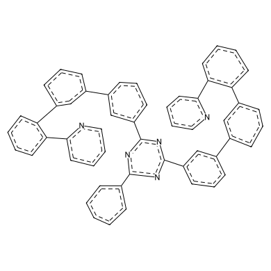 c1ccc(-c2nc(-c3cccc(-c4cccc(-c5ccccc5-c5ccccn5)c4)c3)nc(-c3cccc(-c4cccc(-c5ccccc5-c5ccccn5)c4)c3)n2)cc1